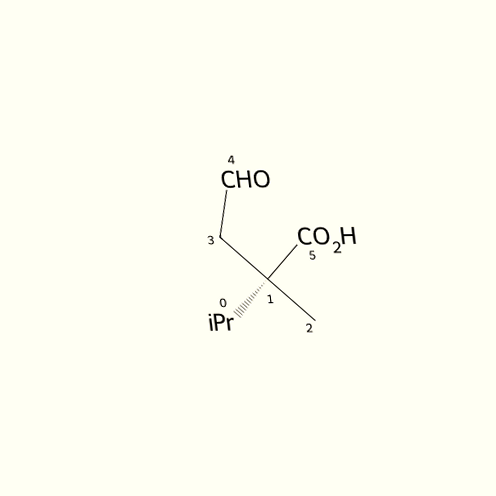 CC(C)[C@](C)(CC=O)C(=O)O